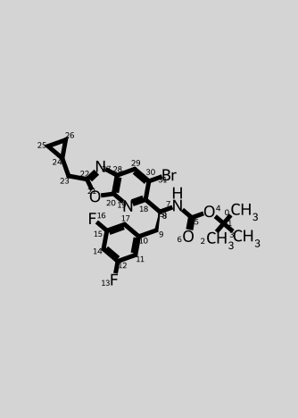 CC(C)(C)OC(=O)N[C@@H](Cc1cc(F)cc(F)c1)c1nc2oc(CC3CC3)nc2cc1Br